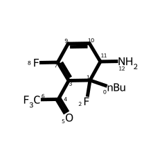 CCCCC1(F)C(C(=O)C(F)(F)F)=C(F)C=CC1N